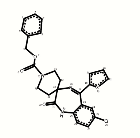 O=C(OCc1ccccc1)N1CCC2(CC1)N=C(c1cccs1)c1cc(Cl)ccc1NC2=O